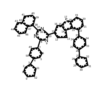 c1ccc(-c2ccc(-c3nc(-c4ccc5c(c4)sc4cccc(-c6ccc(-c7ccccc7)cc6)c45)nc(-c4cccc5ccccc45)n3)cc2)cc1